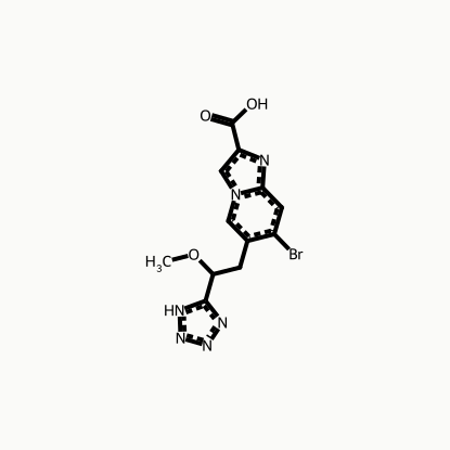 COC(Cc1cn2cc(C(=O)O)nc2cc1Br)c1nnn[nH]1